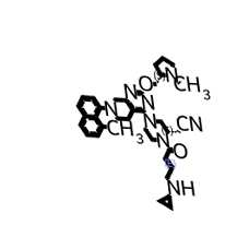 Cc1cccc2cccc(N3CCc4c(nc(OC[C@@H]5CCCN5C)nc4N4CCN(C(=O)/C=C/CNC5CC5)[C@@H](CC#N)C4)C3)c12